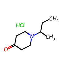 CCC(C)N1CCC(=O)CC1.Cl